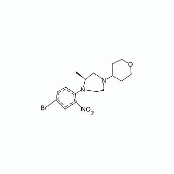 C[C@H]1CN(C2CCOCC2)CCN1c1ccc(Br)cc1[N+](=O)[O-]